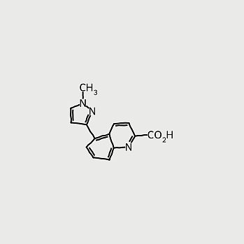 Cn1ccc(-c2cccc3nc(C(=O)O)ccc23)n1